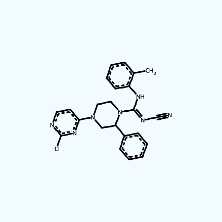 Cc1ccccc1N/C(=N\C#N)N1CCN(c2ccnc(Cl)n2)CC1c1ccccc1